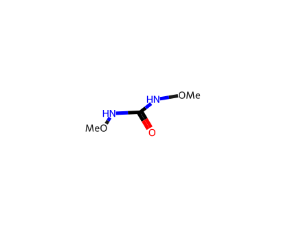 CONC(=O)NOC